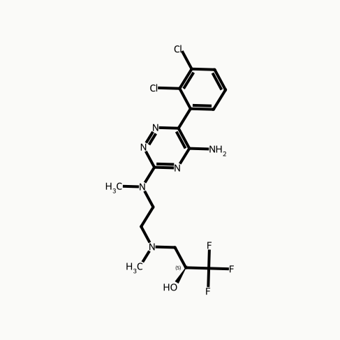 CN(CCN(C)c1nnc(-c2cccc(Cl)c2Cl)c(N)n1)C[C@H](O)C(F)(F)F